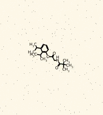 CC(C)c1cccc(OC(=O)CNC(=O)C(C)(C)C)c1C(C)C